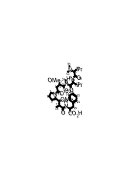 CCC(C)C(C(CC(=O)N1CCCC1C(OC)C(C)C(=O)NC(Cc1ccccc1)C(=O)O)OC)N(C)C(=O)C(NC(=O)C(C(C)C)N(C)C)C(C)C